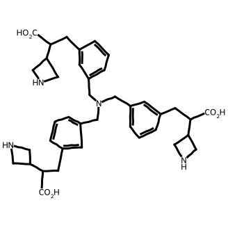 O=C(O)C(Cc1cccc(CN(Cc2cccc(CC(C(=O)O)C3CNC3)c2)Cc2cccc(CC(C(=O)O)C3CNC3)c2)c1)C1CNC1